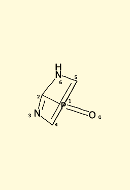 O=P12C3=NC1=C2N3